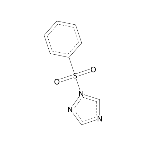 O=S(=O)(c1ccccc1)n1cncn1